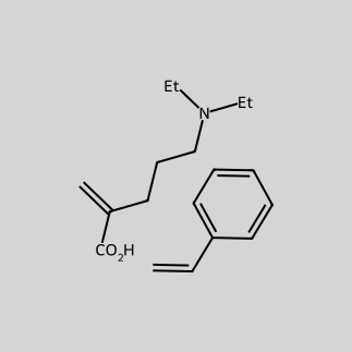 C=C(CCCN(CC)CC)C(=O)O.C=Cc1ccccc1